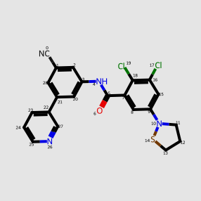 N#Cc1cc(NC(=O)c2cc(N3CCCS3)cc(Cl)c2Cl)cc(-c2cccnc2)c1